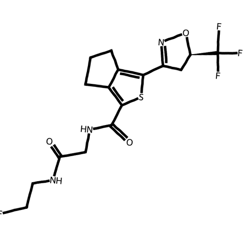 O=C(CNC(=O)c1sc(C2=NO[C@@H](C(F)(F)F)C2)c2c1CCC2)NCCF